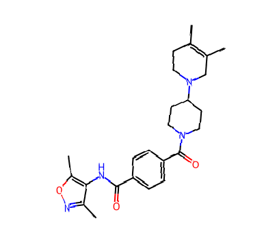 CC1=C(C)CN(C2CCN(C(=O)c3ccc(C(=O)Nc4c(C)noc4C)cc3)CC2)CC1